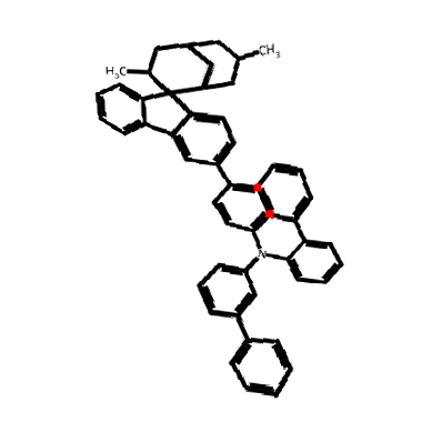 CC1CC2CC(C)C3(c4ccccc4-c4cc(-c5ccc(N(c6cccc(-c7ccccc7)c6)c6ccccc6-c6ccccc6)cc5)ccc43)C(C1)C2